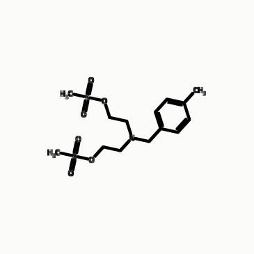 Cc1ccc(CN(CCOS(C)(=O)=O)CCOS(C)(=O)=O)cc1